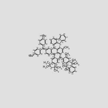 Cc1cc2c3c(c1)N(c1cccc4c1Cc1ccccc1-4)c1cc(N(c4ccc(C(C)(C)C)cc4)c4ccc(C(C)(C)C)cc4)ccc1B3c1cc3c(cc1N2c1cc2c(cc1C)C(C)(C)c1ccccc1C2(C)C)C(C)(C)CC3(C)C